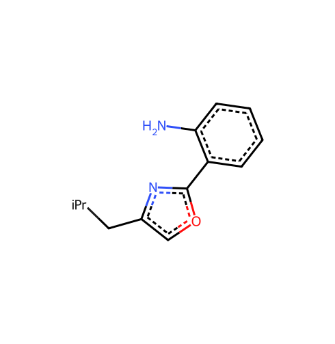 CC(C)Cc1coc(-c2ccccc2N)n1